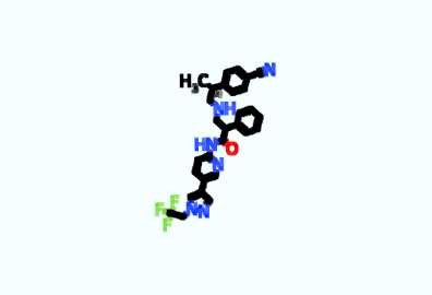 C[C@H](CNCC(C(=O)Nc1ccc(-c2cnn(CC(F)(F)F)c2)cn1)c1ccccc1)c1ccc(C#N)cc1